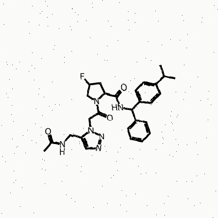 CC(=O)NCc1cnnn1CC(=O)N1CC(F)CC1C(=O)NC(c1ccccc1)c1ccc(C(C)C)cc1